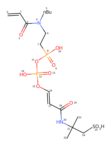 C=CC(=O)N(CCCC)CCP(=O)(O)OP(=O)(O)O/C=C/C(=O)NC(C)(C)CS(=O)(=O)O